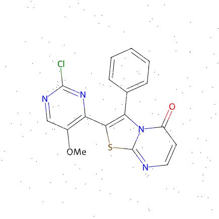 COc1cnc(Cl)nc1-c1sc2nccc(=O)n2c1-c1ccccc1